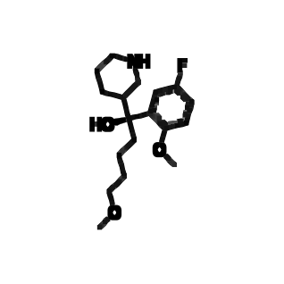 COCCCC[C@@](O)(c1cc(F)ccc1OC)C1CCCNC1